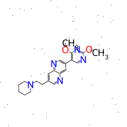 COc1ncc(-c2cnc3cc(CCN4CCCCC4)cnc3c2)c(OC)n1